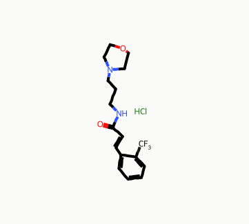 Cl.O=C(C=Cc1ccccc1C(F)(F)F)NCCCN1CCOCC1